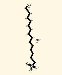 O=S(=O)([O-])CCCCCCCCCCCCCCS.[Na+]